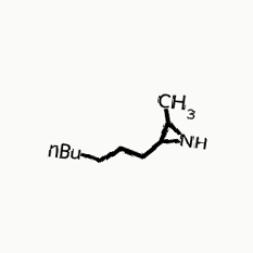 CCCCCCCC1NC1C